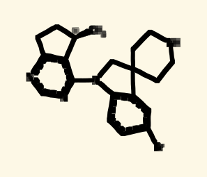 C[C@@H]1CCc2ncnc(N3CC4(CCNCC4)c4cc(Br)ccc43)c21